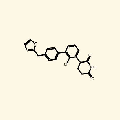 O=C1CCC(c2cccc(-c3ccc(Cc4ncco4)cc3)c2Cl)C(=O)N1